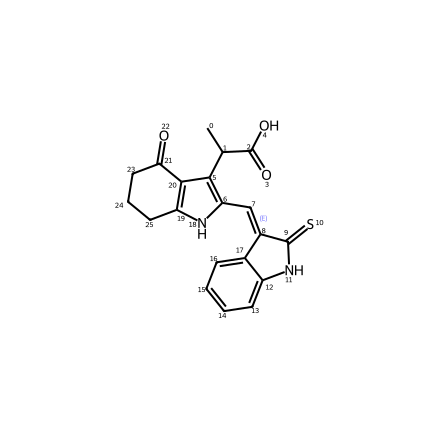 CC(C(=O)O)c1c(/C=C2/C(=S)Nc3ccccc32)[nH]c2c1C(=O)CCC2